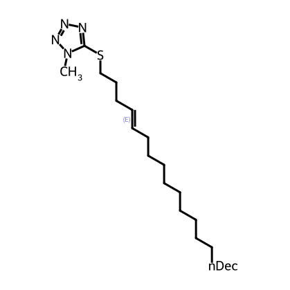 CCCCCCCCCCCCCCCCCCC/C=C/CCCSc1nnnn1C